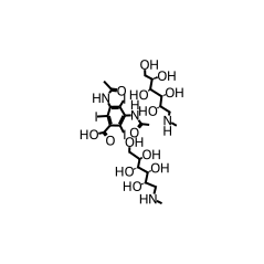 CC(=O)Nc1c(I)c(NC(C)=O)c(I)c(C(=O)O)c1I.CNC[C@H](O)[C@@H](O)[C@H](O)[C@H](O)CO.CNC[C@H](O)[C@@H](O)[C@H](O)[C@H](O)CO